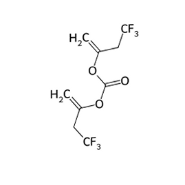 C=C(CC(F)(F)F)OC(=O)OC(=C)CC(F)(F)F